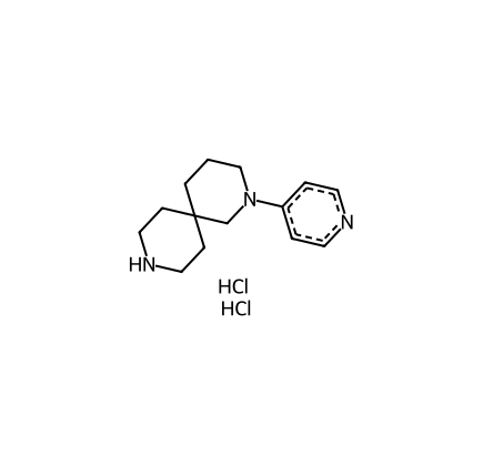 Cl.Cl.c1cc(N2CCCC3(CCNCC3)C2)ccn1